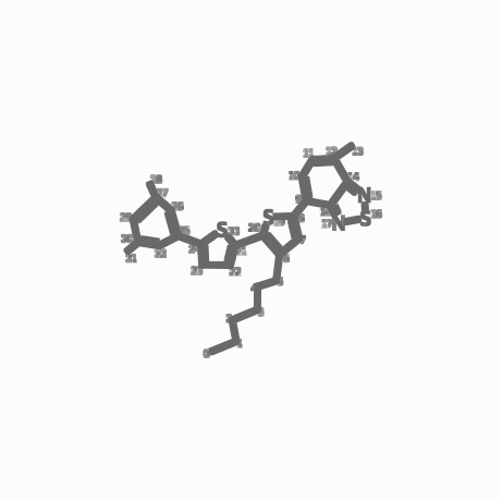 CCCCCCc1cc(-c2ccc(C)c3nsnc23)sc1-c1ccc(-c2cc(C)cc(C)c2)s1